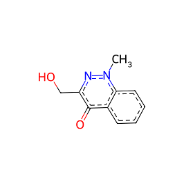 Cn1nc(CO)c(=O)c2ccccc21